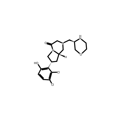 O=C1CN(C[C@@H]2COCCN2)C[C@@H]2C[C@H](c3c(O)ccc(Cl)c3Cl)CN12